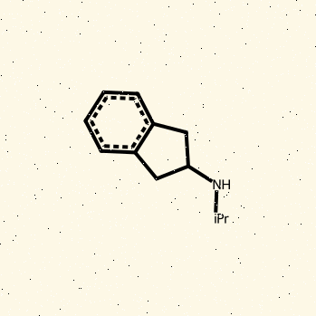 CC(C)NC1Cc2ccccc2C1